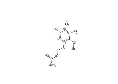 CCOc1c(CCOC(N)=O)cc(Cl)c(C#N)c1Br